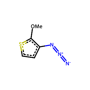 COc1sccc1N=[N+]=[N-]